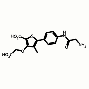 Cc1c(-c2ccc(NC(=O)CN)cc2)sc(C(=O)O)c1OCC(=O)O